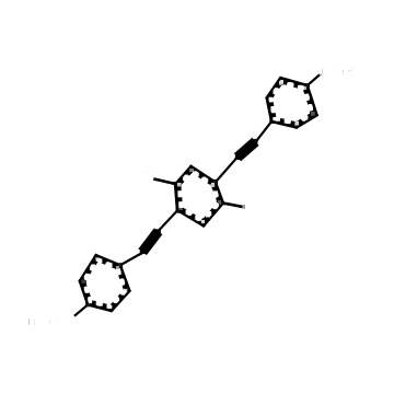 CCCCCCCc1ccc(C#Cc2cc(F)c(C#Cc3ccc(CCCCCCC)cc3)cc2F)cc1